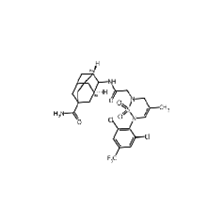 CC1=CN(c2c(Cl)cc(C(F)(F)F)cc2Cl)S(=O)(=O)N(CC(=O)NC2[C@@H]3CC4C[C@H]2CC(C(N)=O)(C4)C3)C1